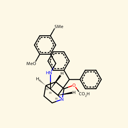 COc1ccc(SC)cc1CN[C@H]1[C@H]2CCN(C(OC(=O)O)C2)[C@H]1C(c1ccccc1)c1ccccc1